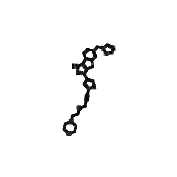 C(#Cc1cc(-c2n[nH]c3c2Cc2cc(Cn4cncn4)ccc2-3)cs1)COCCN1CCOCC1